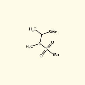 CSC(C)N(C)S(=O)(=O)C(C)(C)C